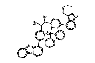 BrC1c2ccc(-c3cccc4c3sc3ccccc34)cc2[Si](c2ccccc2)(c2ccccc2)c2cc(-c3cccc4oc5c(c34)C=CCC5)ccc2C1Br